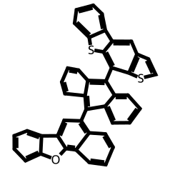 c1ccc2c(c1)oc1c3ccccc3c(-c3c4ccccc4c(-c4c5sccc5cc5c4sc4ccccc45)c4ccccc34)cc21